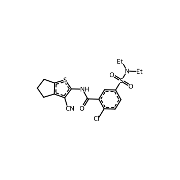 CCN(CC)S(=O)(=O)c1ccc(Cl)c(C(=O)Nc2sc3c(c2C#N)CCC3)c1